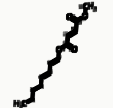 CCCCC=CC=COC(=O)/C=C/C(=O)OC